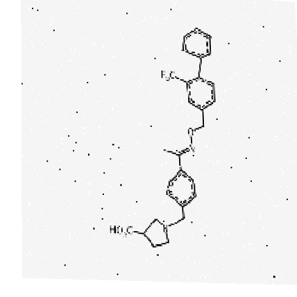 C/C(=N\OCc1ccc(-c2ccccc2)c(C(F)(F)F)c1)c1ccc(CN2CCC(C(=O)O)C2)cc1